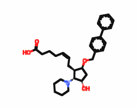 O=C(O)CCC/C=C\C[C@@H]1[C@@H](N2CCCCC2)[C@@H](O)C[C@@H]1OCc1ccc(-c2ccccc2)cc1